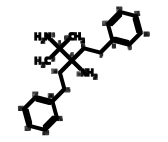 CC(C)(N)C(N)(CCc1ccccc1)CCc1ccccc1